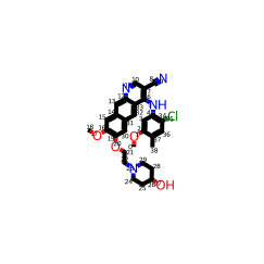 COc1cc(Nc2c(C#N)cnc3cc4cc(OC)c(OCCN5CCC(O)CC5)cc4cc23)c(Cl)cc1C